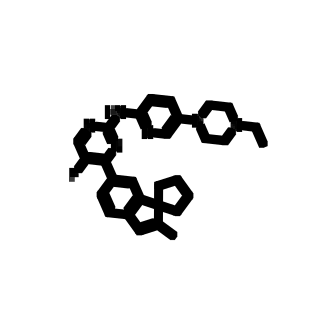 CCN1CCN(c2ccc(Nc3ncc(F)c(-c4ccc5c(c4)C4(CCCC4)C(C)=C5)n3)nc2)CC1